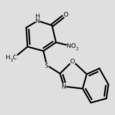 Cc1c[nH]c(=O)c([N+](=O)[O-])c1Sc1nc2ccccc2o1